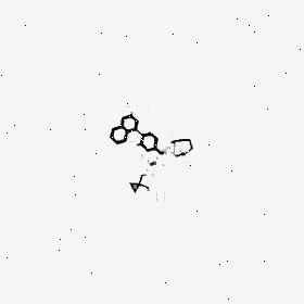 OCC1(CNc2nc(N3C[C@H]4CC[C@@H](C3)N4)c3ccc(-c4cc(O)cc5ccccc45)c(F)c3n2)CC1